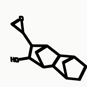 OC1C2CC(C1C1CO1)C1C3CCC(C3)C21